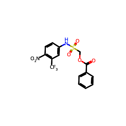 O=C(OCS(=O)(=O)Nc1ccc([N+](=O)[O-])c(C(F)(F)F)c1)c1ccccc1